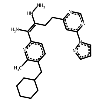 Cc1nc(/C(N)=C(\CCc2cc(-n3cccn3)ncn2)NN)ccc1CC1CCCCC1